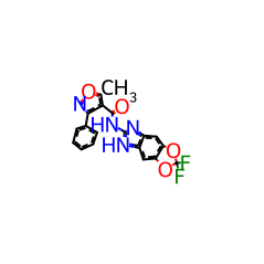 Cc1onc(-c2ccccc2)c1C(=O)Nc1nc2cc3c(cc2[nH]1)OC(F)(F)O3